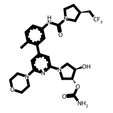 Cc1ccc(NC(=O)N2CC[C@@H](CC(F)(F)F)C2)cc1-c1cc(N2CCOCC2)nc(N2C[C@@H](O)[C@H](OC(N)=O)C2)c1